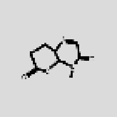 CN1C(=O)C=NC2CCC(=O)OC21